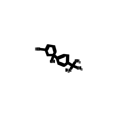 CC(C)(C)c1ccc(C2(O)C=CC=C(O)C2)cc1